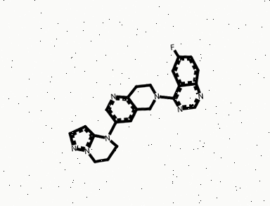 Fc1ccc2ncnc(N3CCc4ncc(N5CCCn6nccc65)cc4C3)c2c1